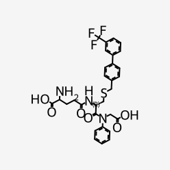 NC(CCC(=O)N[C@@H](CSCc1ccc(-c2cccc(C(F)(F)F)c2)cc1)C(=O)N(CC(=O)O)c1ccccc1)C(=O)O